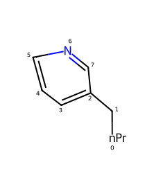 CCCCc1cc[c]nc1